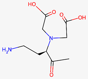 CC(=O)[C@@H](CCN)N(CC(=O)O)CC(=O)O